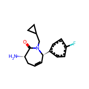 N[C@H]1CC=C[C@@H](c2ccc(F)cc2)N(CC2CC2)C1=O